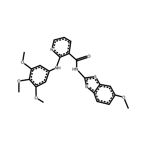 COc1ccc2nc(NC(=O)c3cccnc3Nc3cc(OC)c(OC)c(OC)c3)sc2c1